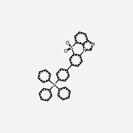 O=S1(=O)c2cc(-c3ccc([Si](c4ccccc4)(c4ccccc4)c4ccccc4)cc3)ccc2-n2cnc3cccc1c32